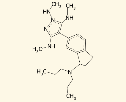 CCCN(CCC)C1CCc2ccc(-c3c(NC)nn(NC)c3NC)cc21